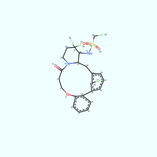 O=C1CCOc2ccccc2-c2cccc(c2F)CC2C(NS(=O)(=O)CF)C(F)(F)CCN12